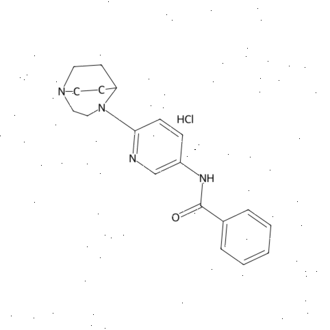 Cl.O=C(Nc1ccc(N2CCN3CCC2CC3)nc1)c1ccccc1